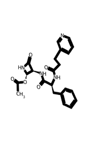 CC(=O)O[C@@H]1NC(=O)[C@H]1NC(=O)[C@H](Cc1ccccc1)NC(=O)CCc1cccnc1